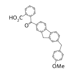 COc1ccc(Cc2ccc3c(c2)Cc2cc(C(=O)c4ccccc4C(=O)O)ccc2-3)cc1